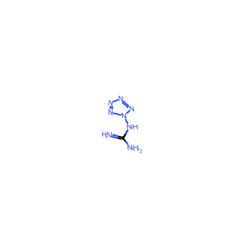 N=C(N)Nn1nnnn1